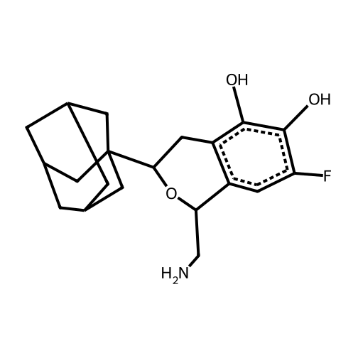 NCC1OC(C23CC4CC(CC(C4)C2)C3)Cc2c1cc(F)c(O)c2O